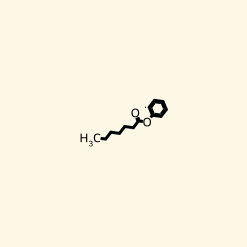 CCCCCCC(=O)Oc1[c]cccc1